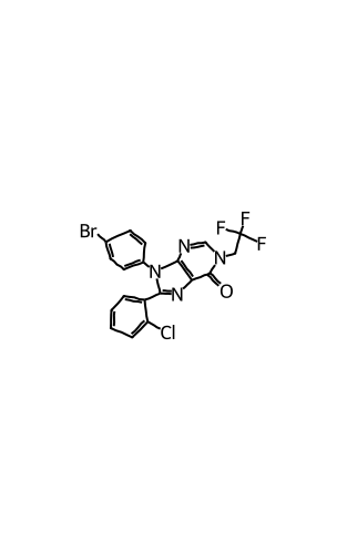 O=c1c2nc(-c3ccccc3Cl)n(-c3ccc(Br)cc3)c2ncn1CC(F)(F)F